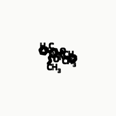 CCCCn1c(-c2ccccc2)c(C)cc(C(=O)NC(C)(C)c2ccccc2)c1=O